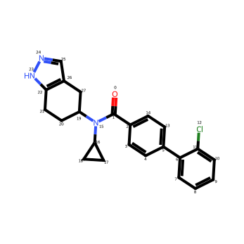 O=C(c1ccc(-c2ccccc2Cl)cc1)N(C1CC1)C1CCc2[nH]ncc2C1